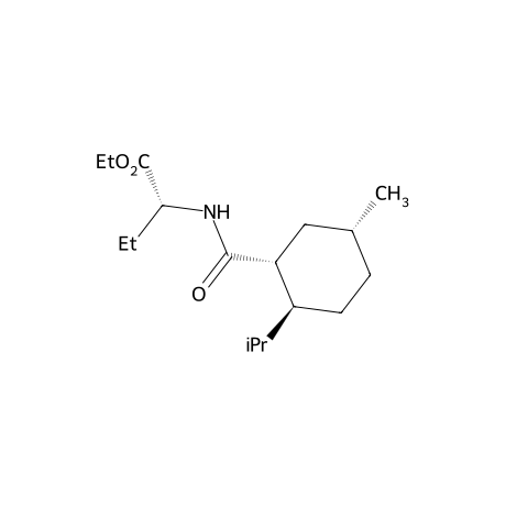 CCOC(=O)[C@@H](CC)NC(=O)[C@@H]1C[C@H](C)CC[C@H]1C(C)C